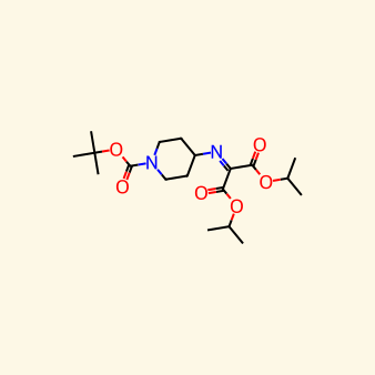 CC(C)OC(=O)C(=NC1CCN(C(=O)OC(C)(C)C)CC1)C(=O)OC(C)C